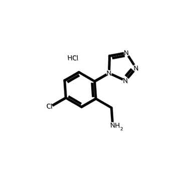 Cl.NCc1cc(Cl)ccc1-n1cnnn1